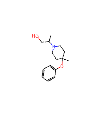 CC(CO)N1CCC(C)(Oc2ccccc2)CC1